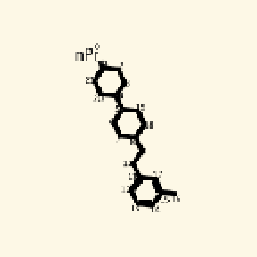 CCCC1CCC(C2CCC(CCc3cccc(C)c3)CC2)CC1